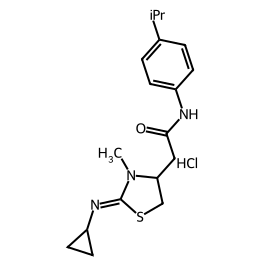 CC(C)c1ccc(NC(=O)CC2CS/C(=N\C3CC3)N2C)cc1.Cl